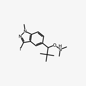 Cn1nc(I)c2cc(C(O[SiH](C)C)C(C)(C)C)ccc21